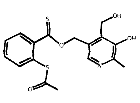 CC(=O)Sc1ccccc1C(=S)OCc1cnc(C)c(O)c1CO